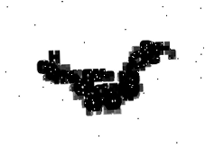 COc1nc(-c2cccc(-c3cccc(Nc4nccc5sc(CN6CCC(S(N)(=O)=O)CC6)nc45)c3Cl)c2Cl)ccc1CNC[C@@H]1CCC(=O)N1